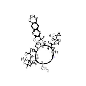 COc1cc2nc(O[C@@H]3C[C@H]4C(=O)N[C@]5(C(=O)NS(=O)(=O)C6(C)CC6)C[C@H]5/C=C\CC[C@H](C)C[C@@H](C)[C@H](N(C(=O)O)C(C)(C)C(F)(F)F)C(=O)N4C3)c(C(F)(F)F)nc2cc1F